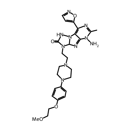 COCCOc1ccc(N2CCN(CCN3C(=O)NN4C5=C(c6ccno6)N=C(C)N(N)C5=NC34)CC2)cc1